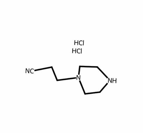 Cl.Cl.N#CCCN1CCNCC1